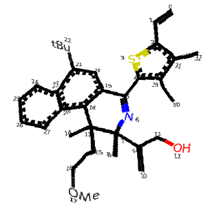 C=Cc1sc(C2=NC(C)(C(=C)CO)C(C)(CCOC)c3c2cc(C(C)(C)C)c2ccccc32)c(C)c1C